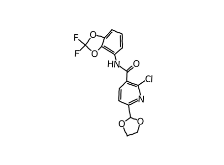 O=C(Nc1cccc2c1OC(F)(F)O2)c1ccc(C2OCCO2)nc1Cl